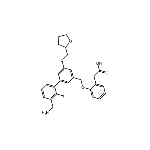 NCc1cccc(-c2cc(COc3ccccc3CC(=O)O)cc(OCC3CCCO3)c2)c1F